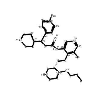 CCCSN1CCNC[C@@H]1CCc1c(F)cncc1NC(=O)CC(c1ccc(F)cc1)C1CCOCC1